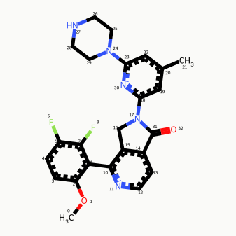 COc1ccc(F)c(F)c1-c1nccc2c1CN(c1cc(C)cc(N3CCNCC3)n1)C2=O